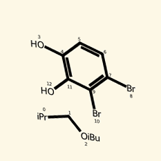 CC(C)COCC(C)C.Oc1ccc(Br)c(Br)c1O